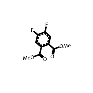 COC(=O)c1cc(F)c(F)cc1C(=O)OC